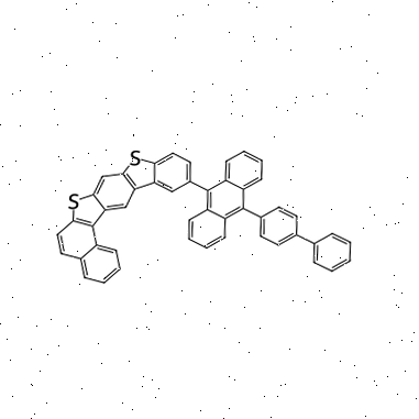 c1ccc(-c2ccc(-c3c4ccccc4c(-c4ccc5sc6cc7sc8ccc9ccccc9c8c7cc6c5c4)c4ccccc34)cc2)cc1